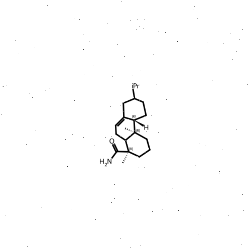 CC(C)C1CC[C@H]2C(=CCC3[C@](C)(C(N)=O)CCC[C@@]32C)C1